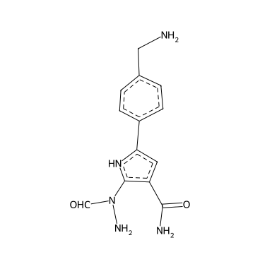 NCc1ccc(-c2cc(C(N)=O)c(N(N)C=O)[nH]2)cc1